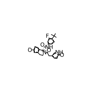 COc1ccc2c(c1)CCN(C(=O)Cc1ccc(=O)[nH]c1)[C@H]2C(=O)Nc1ccc(C(C)(C)C)c(F)c1